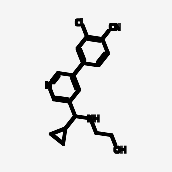 N#Cc1ccc(-c2cncc(C(NCCO)C3CC3)c2)cc1Cl